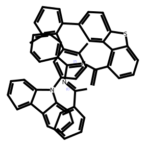 C=C(/N=C(\N=C(/C)c1ccccc1)c1ccccc1)c1cccc2sc3ccc(-c4cccc(C)c4-c4cc(-n5c6ccccc6c6ccccc65)ccc4C)cc3c12